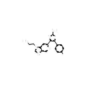 NCCn1cnc2cnc(-c3nc(N)sc3-c3ccc(F)cc3)cc21